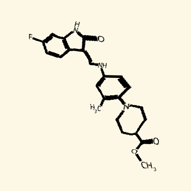 COC(=O)C1CCN(c2ccc(NC=C3C(=O)Nc4cc(F)ccc43)cc2C)CC1